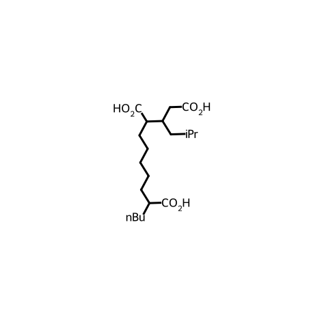 CCCCC(CCCCCC(C(=O)O)C(CC(=O)O)CC(C)C)C(=O)O